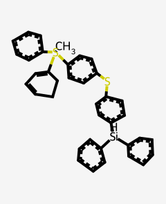 CS(C1=CC=CCC1)(c1ccccc1)c1ccc(Sc2ccc([SiH](c3ccccc3)c3ccccc3)cc2)cc1